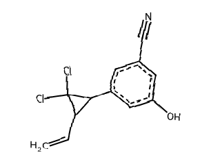 C=CC1C(c2cc(O)cc(C#N)c2)C1(Cl)Cl